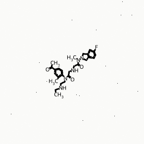 CCNCCN(C(=O)CNCC(=O)N(C)N1Cc2ccc(F)cc2C1)c1ccc(C(C)=O)cc1C